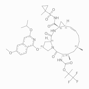 COc1ccc2c(O[C@@H]3C[C@H]4C(=O)N[C@]5(C(=O)NS(=O)(=O)C6(C)CC6)C[C@H]5C=CCC[C@@H](C)C[C@@H](C)[C@H](NC(=O)OC(C)(C)C(F)(F)F)C(=O)N4C3)nc(OC(C)C)cc2c1